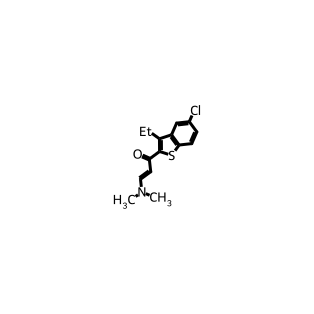 CCc1c(C(=O)/C=C/N(C)C)sc2ccc(Cl)cc12